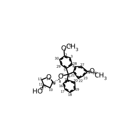 COc1ccc(C(OC[C@@H]2C[C@@H](O)CO2)(c2ccccc2)c2ccc(OC)cc2)cc1